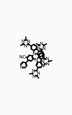 Cc1nc(C)nc(-c2ccc3c4ccc(-c5nc(C)nc(C)n5)cc4n(-c4cc(C#N)c(-c5ccncc5)cc4-n4c5cc(-c6nc(C)nc(C)n6)ccc5c5ccc(-c6nc(C)nc(C)n6)cc54)c3c2)n1